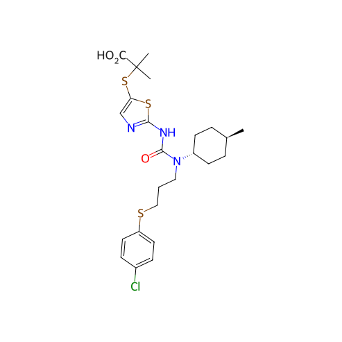 CC(C)(Sc1cnc(NC(=O)N(CCCSc2ccc(Cl)cc2)[C@H]2CC[C@H](C)CC2)s1)C(=O)O